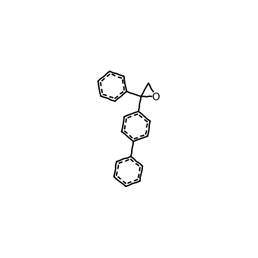 c1ccc(-c2ccc(C3(c4ccccc4)CO3)cc2)cc1